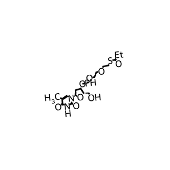 CCC(=O)SCCOCCOPO[C@@H]1C[C@H](n2cc(C)c(=O)[nH]c2=O)O[C@@H]1CO